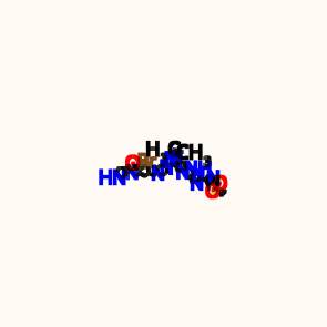 CC(C)n1nc(N2CCN(Cc3cc(Br)c4c(c3)CN(C3CCCNC3)C4=O)CC2)c2cnc(Nc3ccnc(-c4cnn(S(=O)(=O)C5CC5)c4)n3)cc21